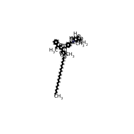 CCCCCCCCCCCCCCCCCCCCCCOC(=O)C(C)CC(=O)C(CC(=O)C(CC)c1ccccc1)C(=O)Nc1ccc(N/N=C2\C(=O)NC(=O)C(C(N)=O)=C2C)cc1